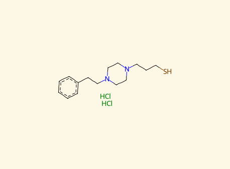 Cl.Cl.SCCCN1CCN(CCc2ccccc2)CC1